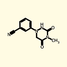 CN1C(=O)CN(c2cccc(C#N)c2)NC1=O